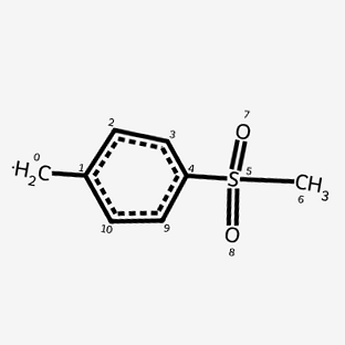 [CH2]c1ccc(S(C)(=O)=O)cc1